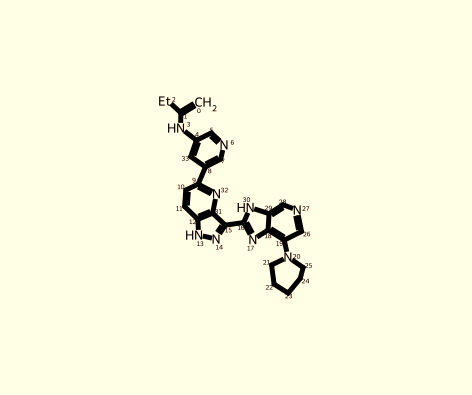 C=C(CC)Nc1cncc(-c2ccc3[nH]nc(-c4nc5c(N6CCCCC6)cncc5[nH]4)c3n2)c1